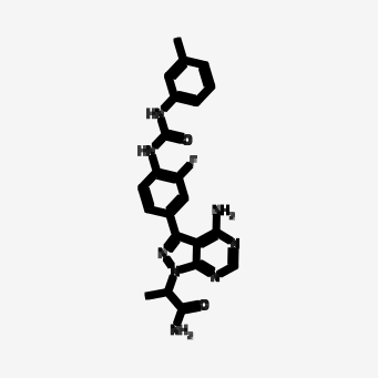 Cc1cccc(NC(=O)Nc2ccc(-c3nn(C(C)C(N)=O)c4ncnc(N)c34)cc2F)c1